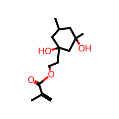 C=C(C)C(=O)OCCC1(O)CC(C)CC(C)(O)C1